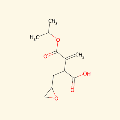 C=C(C(=O)OC(C)C)C(CC1CO1)C(=O)O